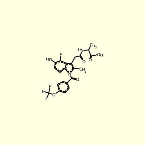 Cc1c(CC(=O)NC(C)C(=O)O)c2c(F)c(O)ccc2n1C(=O)c1ccc(OC(F)(F)F)cc1